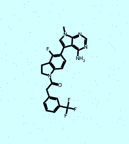 Cn1cc(-c2ccc3c(c2F)CCN3C(=O)Cc2cccc(C(F)(F)F)c2)c2c(N)ncnc21